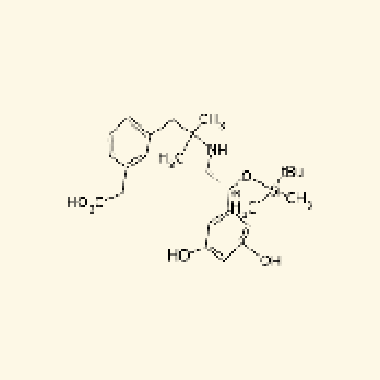 CC(C)(Cc1cccc(CC(=O)O)c1)NC[C@H](O[Si](C)(C)C(C)(C)C)c1cc(O)cc(O)c1